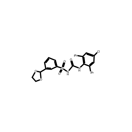 CC(C)c1cc(Cl)cc(C(C)C)c1NC(=O)NS(=O)(=O)c1cccc(C2OCCO2)c1